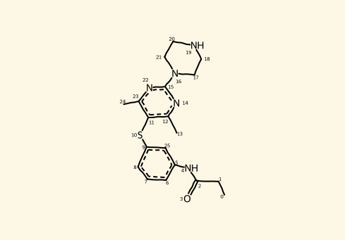 CCC(=O)Nc1cccc(Sc2c(C)nc(N3CCNCC3)nc2C)c1